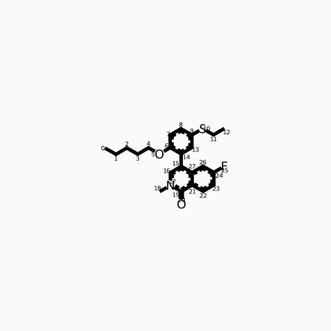 CCCCCOc1ccc(SCC)cc1-c1cn(C)c(=O)c2ccc(F)cc12